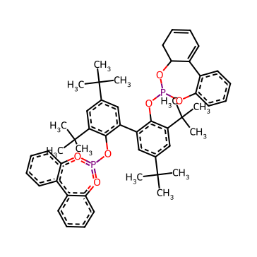 CC(C)(C)c1cc(-c2cc(C(C)(C)C)cc(C(C)(C)C)c2Op2oc3ccccc3c3ccccc3o2)c(OP2Oc3ccccc3C3=CC=CCC3O2)c(C(C)(C)C)c1